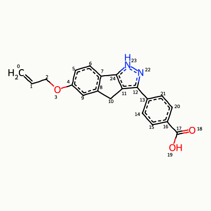 C=CCOc1ccc2c(c1)Cc1c(-c3ccc(C(=O)O)cc3)n[nH]c1-2